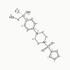 O=S(=O)(c1cccs1)N1CCN(c2ccc([C@](O)(CO)C(F)(F)F)cc2)CC1